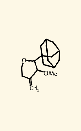 C=C1CCOC(C23CC4CC(CC(C4)C2)C3)C1OC